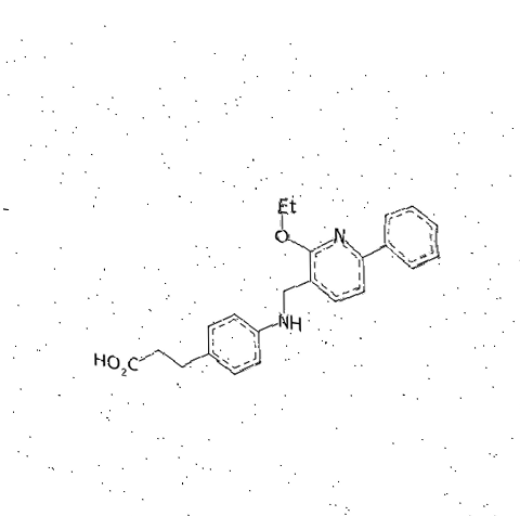 CCOc1nc(-c2ccccc2)ccc1CNc1ccc(CCC(=O)O)cc1